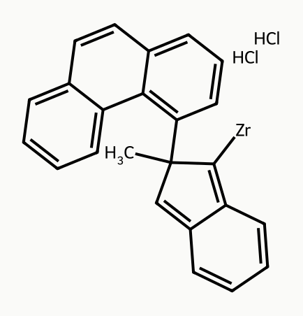 CC1(c2cccc3ccc4ccccc4c23)C=c2ccccc2=[C]1[Zr].Cl.Cl